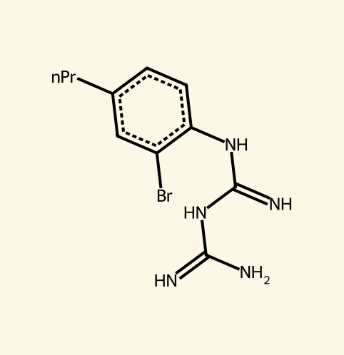 CCCc1ccc(NC(=N)NC(=N)N)c(Br)c1